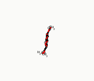 C=CC(=O)OCCCCCCOc1ccc(COc2ccc(OC(=O)c3ccc(OCCCCCCOC(=O)C(=C)C)cc3)cc2)cc1